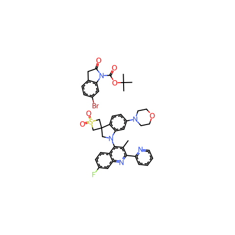 CC(C)(C)OC(=O)N1C(=O)Cc2ccc(Br)cc21.Cc1c(-c2ccccn2)nc2cc(F)ccc2c1N1CC2(CS(=O)(=O)C2)c2ccc(N3CCOCC3)cc21